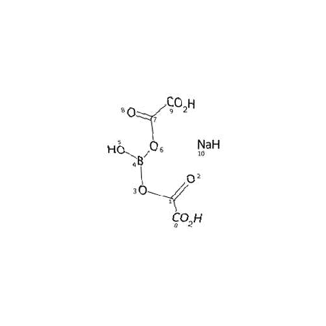 O=C(O)C(=O)OB(O)OC(=O)C(=O)O.[NaH]